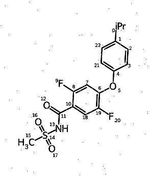 CC(C)c1ccc(Oc2cc(F)c(C(=O)NS(C)(=O)=O)cc2F)cc1